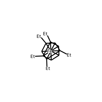 CC[C]12[CH]3[C]4(CC)[C]5(CC)[CH]1[Fe]32451678[CH]2[CH]1[C]6(CC)[C]7(CC)[CH]28